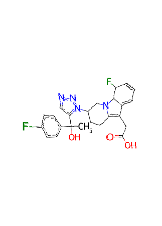 CC(O)(c1ccc(F)cc1)c1cnnn1C1CCC2=C(CC(=O)O)C3=CC=CC(F)C3N2C1